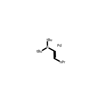 CCCC=CP(C(C)(C)C)C(C)(C)C.[Pd]